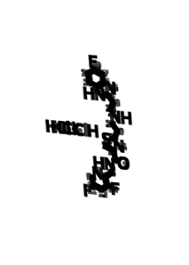 Cl.Cl.Cl.O=C(NCc1ncc(F)cc1F)c1csc(CCNCCc2nc3cc(F)ccc3[nH]2)n1